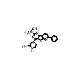 CCCC1CN(c2nc(N(C)C)nc3c2sc2nc(-c4ccccc4)ccc23)CCN1